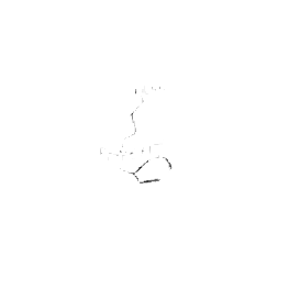 CCCCCCCCCCCCCC[N+](C)(CC)Cc1ccccc1.[Br-]